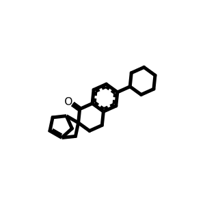 O=C1c2ccc(C3CCCCC3)cc2CCC12CC1=CCC2C1